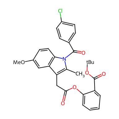 COc1ccc2c(c1)c(CC(=O)Oc1ccccc1C(=O)OC(C)(C)C)c(C)n2C(=O)c1ccc(Cl)cc1